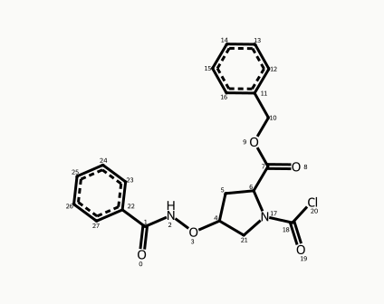 O=C(NOC1CC(C(=O)OCc2ccccc2)N(C(=O)Cl)C1)c1ccccc1